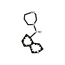 [O-][S+](c1cccc2cnccc12)N1CCCNCC1